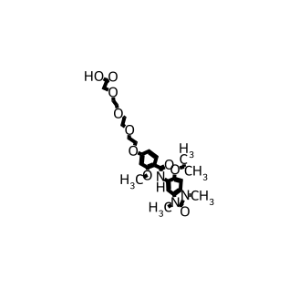 COc1cc(OCCOCCOCCOCC(=O)O)ccc1C(=O)Nc1cc2c(cc1OC(C)C)n(C)c(=O)n2C